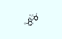 Cc1c(F)cccc1-n1ncc2c(Cl)ncnc21